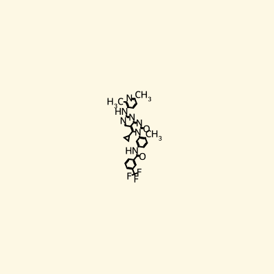 Cc1ccc(Nc2ncc3c(C4CC4)n(-c4cc(NC(=O)c5cccc(C(F)(F)F)c5)ccc4C)c(=O)nc3n2)c(C)n1